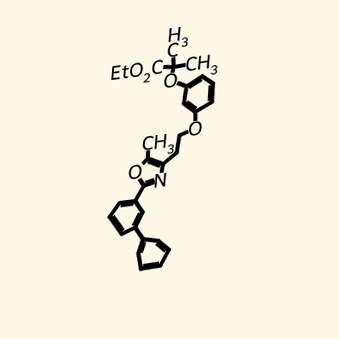 CCOC(=O)C(C)(C)Oc1cccc(OCCc2nc(-c3cccc(-c4ccccc4)c3)oc2C)c1